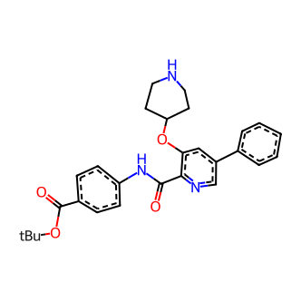 CC(C)(C)OC(=O)c1ccc(NC(=O)c2ncc(-c3ccccc3)cc2OC2CCNCC2)cc1